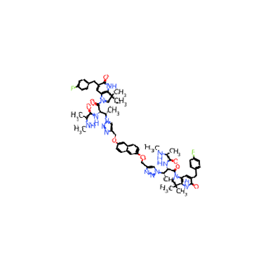 CN[C@@H](C)C(=O)N[C@H](C(=O)N1CC(C)(C)c2[nH]c(=O)c(Cc3ccc(F)cc3)cc21)[C@H](C)n1cc(COc2ccc3cc(OCc4cn([C@@H](C)[C@H](NC(=O)[C@H](C)NC)C(=O)N5CC(C)(C)c6[nH]c(=O)c(Cc7ccc(F)cc7)cc65)nn4)ccc3c2)nn1